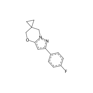 Fc1ccc(-c2cc3n(n2)CC2(CC2)CO3)cc1